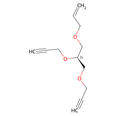 C#CCOC[C@H](COCC=C)OCC#C